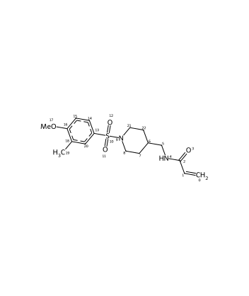 C=CC(=O)NCC1CCN(S(=O)(=O)c2ccc(OC)c(C)c2)CC1